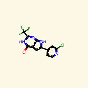 O=c1[nH]c(C(F)(F)F)nc2[nH]c(-c3ccnc(Cl)c3)cc12